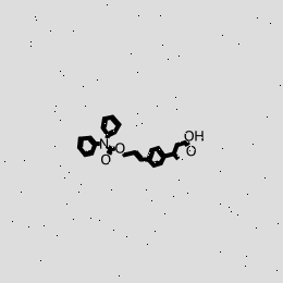 CC(CC(=O)O)c1ccc(C=CCOC(=O)N(c2ccccc2)c2ccccc2)cc1